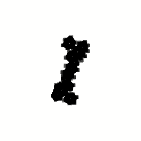 CC1(C)c2ccccc2N(c2ccccc2)c2ccc3c(sc4cc5cc6c(cc5cc43)sc3c4c(ccc36)N(c3ccccc3)c3ccccc3C4(C)C)c21